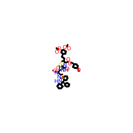 CO/N=C(\C(=O)N[C@@H]1C(=O)N2C(C(=O)OCc3ccc(OC)cc3)=C(/C=C/c3ccc(OC(C)=O)c(OC(C)=O)c3)CS[C@H]12)c1csc(NC(c2ccccc2)(c2ccccc2)c2ccccc2)n1